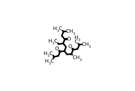 CCC(CC(C[C@H](C)C(=O)CC(C)C)C(=O)CC(C)C)C(=O)CC(C)C